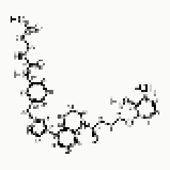 Cc1cccc(OCCCC(=O)N2CCCc3c(-c4cnn(Cc5cccc(NC(=O)NCCC(=O)O)c5)c4)cccc32)c1C